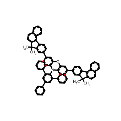 CC1(C)c2cc(-c3ccc4c(c3)Oc3cc(-c5ccc6c(c5)C(C)(C)c5ccc7ccccc7c5-6)ccc3N4c3c(-c4ccccc4)cc(-c4ccccc4)cc3-c3ccccc3)ccc2-c2c1ccc1ccccc21